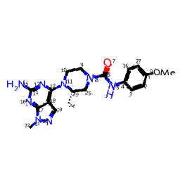 COc1ccc(NC(=O)N2CCN(c3nc(N)nc4c3cnn4C)[C@@H](C)C2)cc1